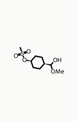 COC(O)[C@H]1CC[C@@H](OS(C)(=O)=O)CC1